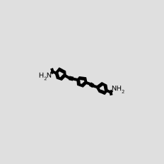 CC(N)c1ccc(C#Cc2ccc(C#Cc3ccc(C(C)N)cc3)cc2)cc1